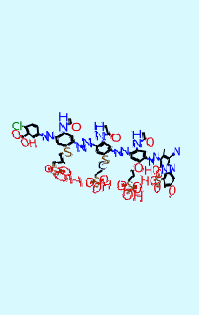 COc1cc(S(=O)(=O)O)c2c(c1)nc1c(C#N)c(C)c(N=Nc3cc(NC(C)=O)c(N=Nc4cc(NC(C)=O)c(N=Nc5cc(NC(C)=O)c(N=Nc6ccc(Cl)c(C(=O)O)c6)cc5SCCCS(=O)(=O)O)cc4SCCCS(=O)(=O)O)cc3OCCCS(=O)(=O)O)c(O)n12